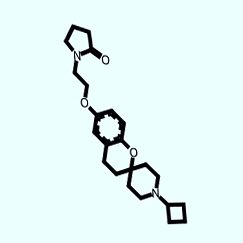 O=C1CCCN1CCOc1ccc2c(c1)CCC1(CCN(C3CCC3)CC1)O2